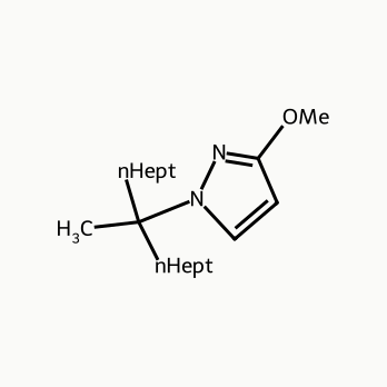 CCCCCCCC(C)(CCCCCCC)n1ccc(OC)n1